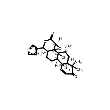 CC(=O)O[C@@H]1C[C@H]2C(C)(C)C(=O)C=C[C@]2(C)[C@H]2CC[C@@]3(C)C(c4ccoc4)OC(=O)[C@H]4O[C@]43[C@@]21C